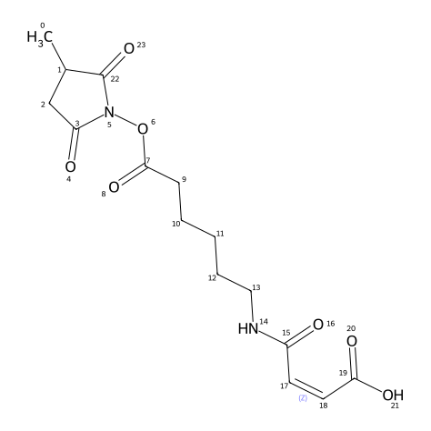 CC1CC(=O)N(OC(=O)CCCCCNC(=O)/C=C\C(=O)O)C1=O